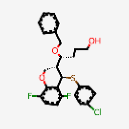 OCCC[C@@H](OCc1ccccc1)[C@H]1COc2c(F)ccc(F)c2[C@@H]1Sc1ccc(Cl)cc1